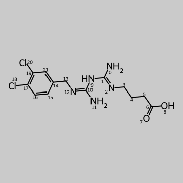 NC(=NCCCC(=O)O)NC(N)=NCc1ccc(Cl)c(Cl)c1